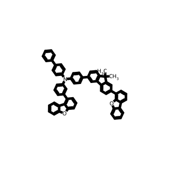 CC1(C)c2ccc(-c3ccc(N(c4ccc(-c5ccccc5)cc4)c4cccc(-c5cccc6oc7ccccc7c56)c4)cc3)cc2-c2ccc(-c3cccc4c3oc3ccccc34)cc21